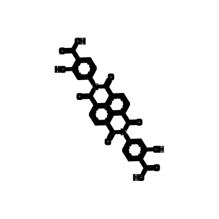 O=C(O)c1ccc(N2C(=O)c3ccc4c5c(ccc(c35)C2=O)C(=O)N(c2ccc(C(=O)O)c(O)c2)C4=O)cc1O